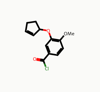 COc1ccc(C(=O)Cl)cc1OC1C=CCC1